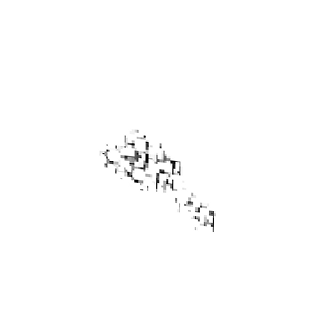 Cc1ccc(Sc2cccc(Oc3ccc(-c4nn([C@H]5CC[C@@H](N6CCN(C)CC6)CC5)c5ncnc(N)c45)cc3)c2C#N)cc1